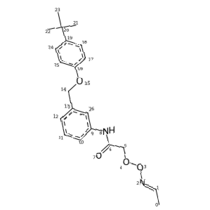 CC=NOOCC(=O)Nc1cccc(COc2ccc(C(C)(C)C)cc2)c1